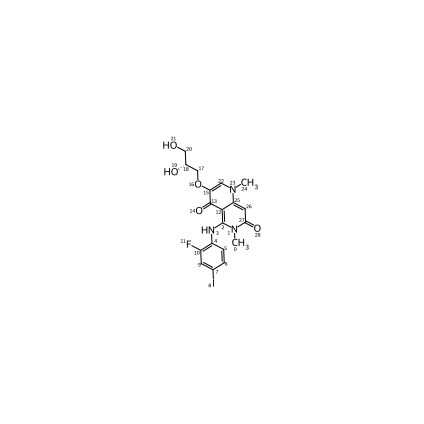 Cn1c(Nc2ccc(I)cc2F)c2c(=O)c(OC[C@H](O)CO)cn(C)c2cc1=O